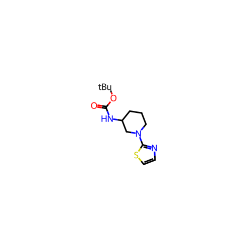 CC(C)(C)OC(=O)NC1CCCN(c2nccs2)C1